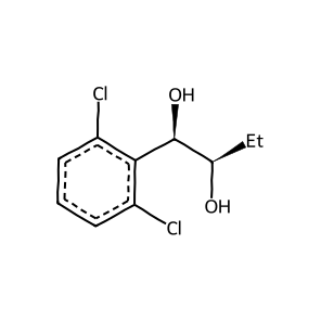 CC[C@@H](O)[C@H](O)c1c(Cl)cccc1Cl